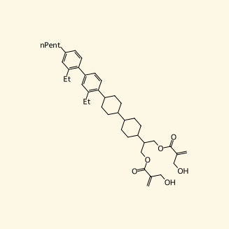 C=C(CO)C(=O)OCC(COC(=O)C(=C)CO)C1CCC(C2CCC(c3ccc(-c4ccc(CCCCC)cc4CC)cc3CC)CC2)CC1